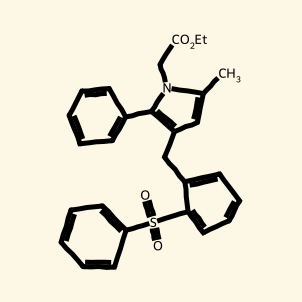 CCOC(=O)Cn1c(C)cc(Cc2ccccc2S(=O)(=O)c2ccccc2)c1-c1ccccc1